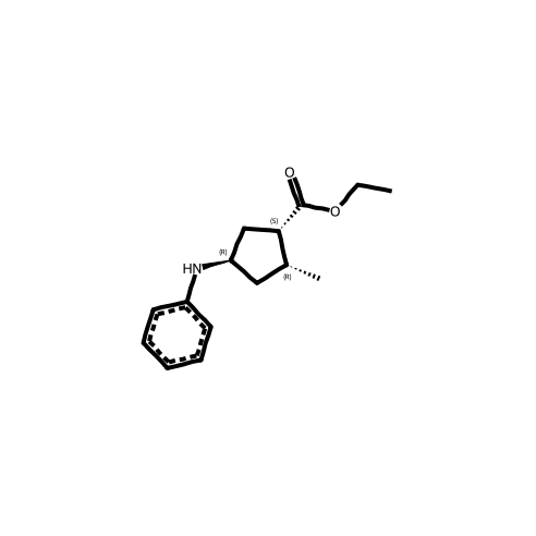 CCOC(=O)[C@H]1C[C@H](Nc2ccccc2)C[C@H]1C